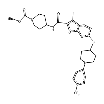 Cc1c(C(=O)NC2CCN(C(=O)OC(C)(C)C)CC2)oc2cc(OC3CCN(c4ccc(C(F)(F)F)cc4)CC3)ccc12